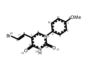 COc1ccc(-n2cc(/C=C/Br)c(=O)[nH]c2=O)cc1